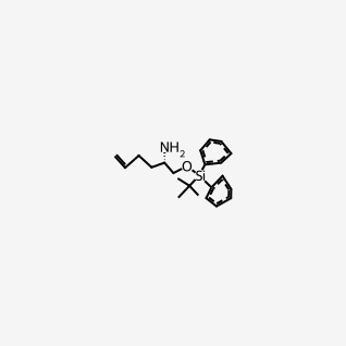 C=CCC[C@H](N)CO[Si](c1ccccc1)(c1ccccc1)C(C)(C)C